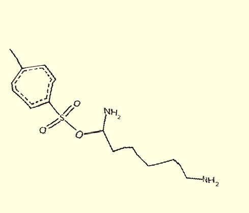 Cc1ccc(S(=O)(=O)OC(N)CCCCCN)cc1